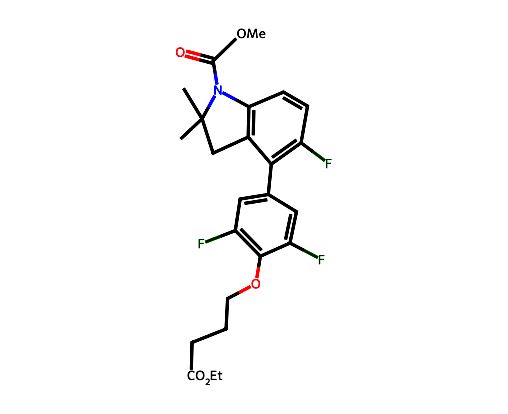 CCOC(=O)CCCOc1c(F)cc(-c2c(F)ccc3c2CC(C)(C)N3C(=O)OC)cc1F